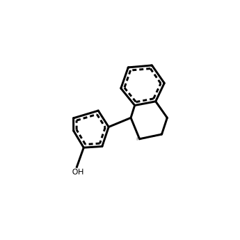 Oc1cccc(C2[C]CCc3ccccc32)c1